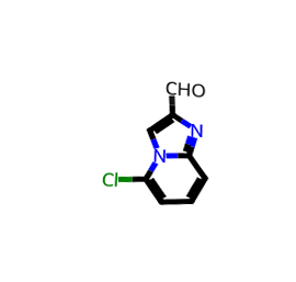 O=Cc1cn2c(Cl)cccc2n1